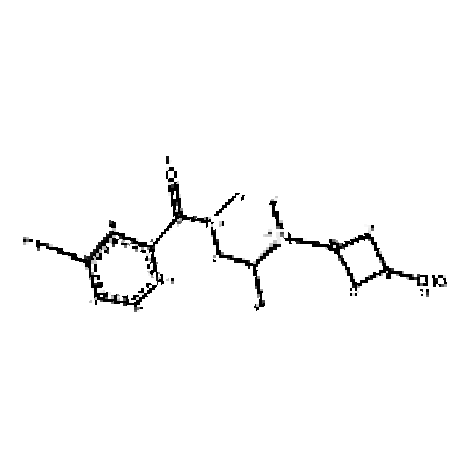 CC(CN(C)C(=O)c1cc(F)ccn1)N(C)C1CC(C=O)C1